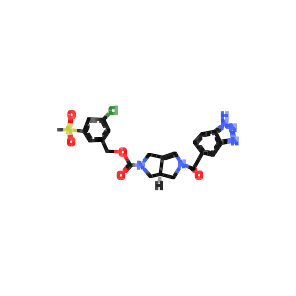 CS(=O)(=O)c1cc(Cl)cc(COC(=O)N2CC3=CN(C(=O)c4ccc5[nH]nnc5c4)C[C@H]3C2)c1